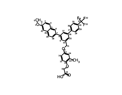 COc1ccc2cc(-c3cc(COc4ccc(OCC(=O)O)c(C)c4)cc(-c4ccc(C(F)(F)F)cc4)c3)ccc2c1